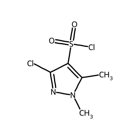 Cc1c(S(=O)(=O)Cl)c(Cl)nn1C